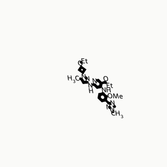 CCO[C@H]1C[C@@H](n2nc(Nc3cc(Nc4cccc(-c5ncn(C)n5)c4OC)c(C(=O)CC)cn3)cc2C)C1